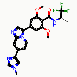 COc1cc(-c2cnc3cc(-c4cn(C)cn4)ccn23)cc(OC)c1C(=O)N[C@@H](C)C(F)(F)F